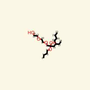 CCCCOC(O)(COCCOCCO)CC(CC)CCCC